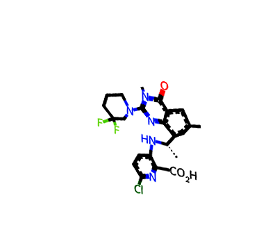 Cc1cc([C@H](C)Nc2ccc(Cl)nc2C(=O)O)c2nc(N3CCCC(F)(F)C3)n(C)c(=O)c2c1